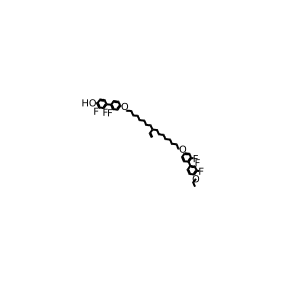 C=CC(CCCCCCCCOc1ccc(-c2ccc(O)c(F)c2F)c(F)c1)CCCCCCCCOc1ccc(-c2ccc(OCC)c(F)c2F)c(F)c1